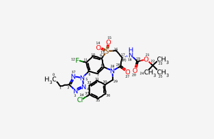 CCc1nnn(-c2cc3c(cc2F)S(=O)(=O)C[C@H](NC(=O)OC(C)(C)C)C(=O)N3Cc2ccc(Cl)cc2)n1